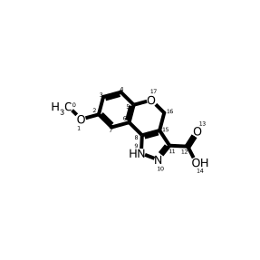 COc1ccc2c(c1)-c1[nH]nc(C(=O)O)c1CO2